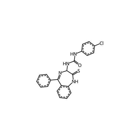 O=C(Nc1ccc(Cl)cc1)NC1N=C(c2ccccc2)c2ccccc2NC1=S